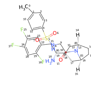 Cc1ccc(S(=O)(=O)NCC(=O)N2[C@@H]3CC[C@H]2C[C@H]([C@H](N)Cc2cc(F)c(F)cc2F)C3)cc1